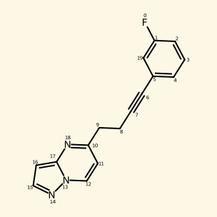 Fc1cccc(C#CCCc2ccn3nccc3n2)c1